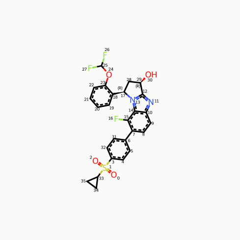 O=S(=O)(c1ccc(-c2ccc3nc4n(c3c2F)[C@@H](c2ccccc2OC(F)F)C[C@H]4O)cc1)C1CC1